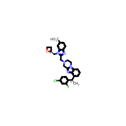 C[C@H](c1ccc(Cl)cc1F)c1cccc2c1nc1n2CCN(Cc2nc3ccc(C(=O)O)cc3n2C[C@@H]2CCO2)C1